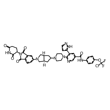 O=C1CCC(N2C(=O)c3ccc(N4C[C@H]5CC(N6CCN(c7ncc(C(=O)Nc8ccc(OC(F)(F)Cl)cc8)cc7-c7ccn[nH]7)CC6)C[C@H]5C4)cc3C2=O)C(=O)N1